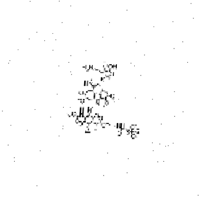 CCOC(=O)NC1=C(N2CC2)C(=O)C(NC(=O)OCC)=C(N2CC2)C1=O.CNC(=O)CSP(=S)(OC)OC.CN[C@H]1CCc2cc(OC)c(OC)c(OC)c2-c2ccc(OC)c(=O)cc21.NCCCC(N)(C(=O)O)C(F)F